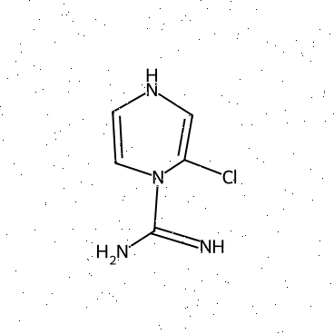 N=C(N)N1C=CNC=C1Cl